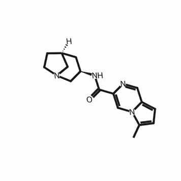 Cc1ccc2cnc(C(=O)N[C@@H]3C[C@@H]4CCN(C4)C3)cn12